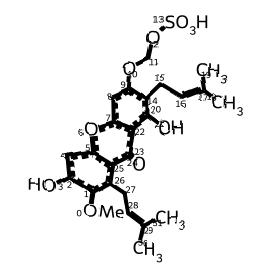 COc1c(O)cc2oc3cc(OCOS(=O)(=O)O)c(CC=C(C)C)c(O)c3c(=O)c2c1CC=C(C)C